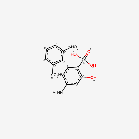 CC(=O)Nc1ccc([As](=O)(O)O)c(O)c1.O=C(O)c1cccc([N+](=O)[O-])c1